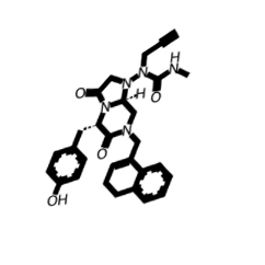 C#CCN(C(=O)NC)N1CC(=O)N2[C@@H](Cc3ccc(O)cc3)C(=O)N(CC3=CCCc4ccccc43)C[C@@H]21